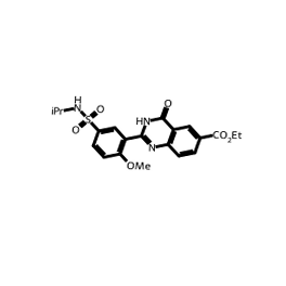 CCOC(=O)c1ccc2nc(-c3cc(S(=O)(=O)NC(C)C)ccc3OC)[nH]c(=O)c2c1